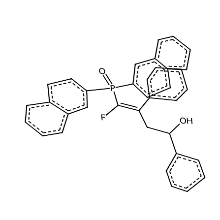 O=P(/C(F)=C(/CC(O)c1ccccc1)c1ccccc1)(c1ccc2ccccc2c1)c1ccc2ccccc2c1